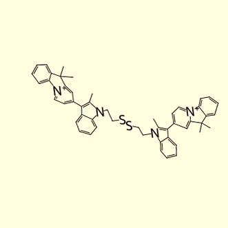 Cc1c(-c2cc[n+]3c(c2)C(C)(C)c2ccccc2-3)c2ccccc2n1CCSSCCn1c(C)c(-c2cc[n+]3c(c2)C(C)(C)c2ccccc2-3)c2ccccc21